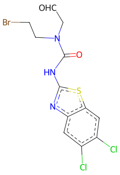 O=CCN(CCBr)C(=O)Nc1nc2cc(Cl)c(Cl)cc2s1